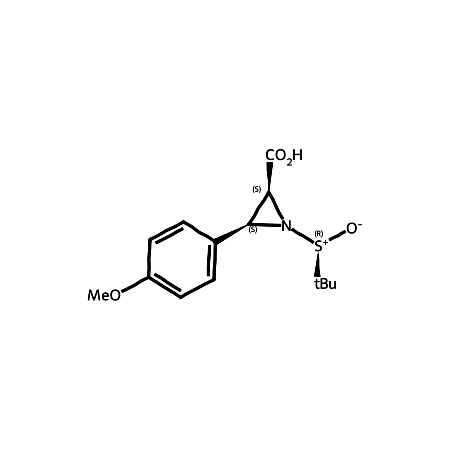 COc1ccc([C@H]2[C@@H](C(=O)O)N2[S@@+]([O-])C(C)(C)C)cc1